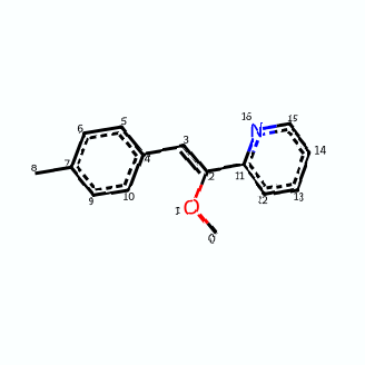 COC(=Cc1ccc(C)cc1)c1ccccn1